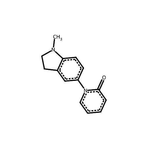 CN1CCc2cc(-n3ccccc3=O)ccc21